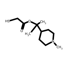 CN1CCC(C(C)(C)OC(=O)CS)CC1